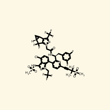 CC(C)(C#Cc1ccc(-c2ccc(Cl)c3c(NS(C)(=O)=O)nn(CC(F)(F)F)c23)c([C@H](Cc2cc(F)cc(F)c2)NC(=O)Cn2nc(C(F)(F)F)c3c2C(F)(F)[C@@H]2C=C32)n1)S(C)(=O)=O